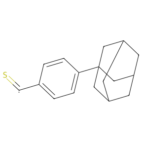 S=[C]c1ccc(C23CC4CC(CC(C4)C2)C3)cc1